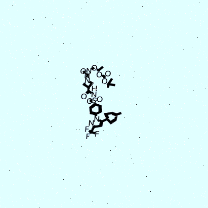 Cc1ccc(-c2cc(C(F)(F)F)nn2-c2ccc(S(=O)(=O)NC(=O)C3CN(n4on4OC(C)OC(=O)OC(C)(C)C)C3)cc2)cc1